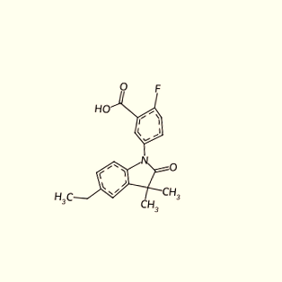 CCc1ccc2c(c1)C(C)(C)C(=O)N2c1ccc(F)c(C(=O)O)c1